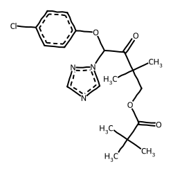 CC(C)(C)C(=O)OCC(C)(C)C(=O)C(Oc1ccc(Cl)cc1)n1cncn1